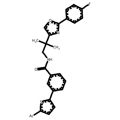 CC(=O)c1ccc(-c2cccc(C(=O)NCC(C)(C)c3coc(-c4ccc(F)cc4)n3)c2)s1